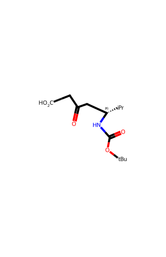 CC(C)[C@@H](CC(=O)CC(=O)O)NC(=O)OC(C)(C)C